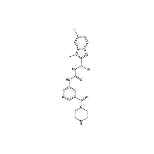 Cc1c(C(NC(=O)Nc2cncc(C(=O)N3CCNCC3)c2)C(C)C)oc2ccc(F)cc12